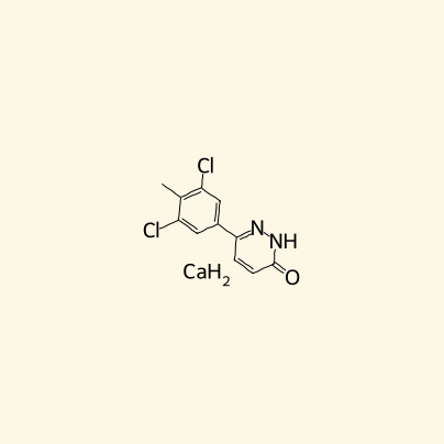 Cc1c(Cl)cc(-c2ccc(=O)[nH]n2)cc1Cl.[CaH2]